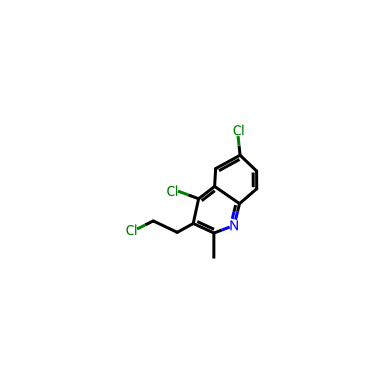 Cc1nc2ccc(Cl)cc2c(Cl)c1CCCl